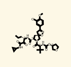 CCC[C@H](NC(=O)[C@@H]1C[C@]2(CC(c3ccc(OC)c(Cl)c3)=NO2)CN1C(=O)[C@@H](NC(=O)O[C@H]1CCOC1)C(C)(C)C)C(=O)C(=O)NC1CC1